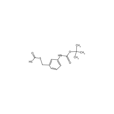 CC(C)(C)OC(=O)Nc1cccc(CSC(=O)S)c1